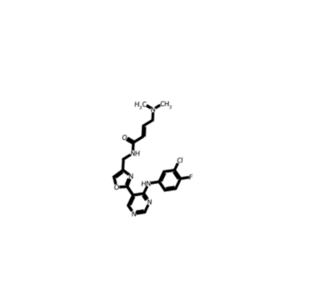 CN(C)C/C=C/C(=O)NCc1coc(-c2cncnc2Nc2ccc(F)c(Cl)c2)n1